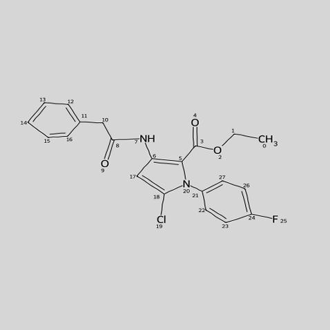 CCOC(=O)c1c(NC(=O)Cc2ccccc2)cc(Cl)n1-c1ccc(F)cc1